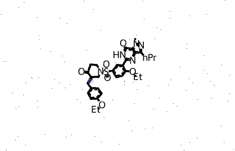 CCCc1nn(C)c2c(=O)[nH]c(-c3cc(S(=O)(=O)N4CCC(=O)/C(=C/c5ccc(OCC)cc5)C4)ccc3OCC)nc12